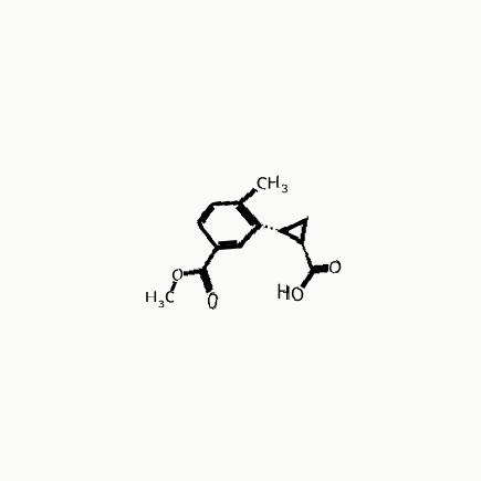 COC(=O)c1ccc(C)c([C@@H]2C[C@H]2C(=O)O)c1